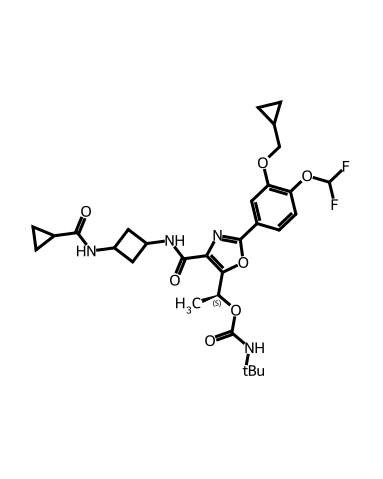 C[C@H](OC(=O)NC(C)(C)C)c1oc(-c2ccc(OC(F)F)c(OCC3CC3)c2)nc1C(=O)NC1CC(NC(=O)C2CC2)C1